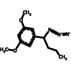 CCCC(N=[N+]=[N-])c1cc(OC)cc(OC)c1